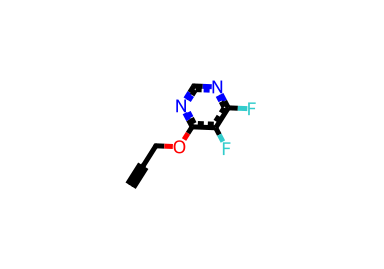 C#CCOc1ncnc(F)c1F